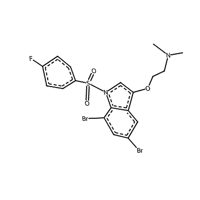 CN(C)CCOc1cn(S(=O)(=O)c2ccc(F)cc2)c2c(Br)cc(Br)cc12